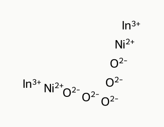 [In+3].[In+3].[Ni+2].[Ni+2].[O-2].[O-2].[O-2].[O-2].[O-2]